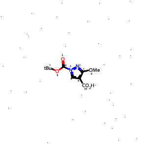 COc1nn(C(=O)OC(C)(C)C)cc1C(=O)O